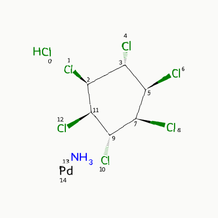 Cl.Cl[C@H]1[C@H](Cl)[C@@H](Cl)[C@@H](Cl)[C@H](Cl)[C@H]1Cl.N.[Pd]